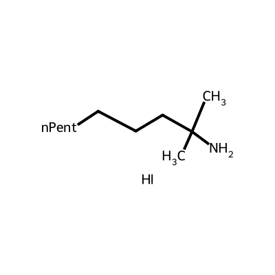 CCCCCCCCC(C)(C)N.I